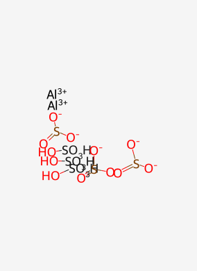 O=S(=O)(O)O.O=S(=O)(O)O.O=S(=O)(O)O.O=S([O-])[O-].O=S([O-])[O-].O=S([O-])[O-].[Al+3].[Al+3]